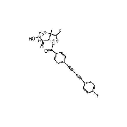 CC(N)(C(F)F)[C@H](NC(=O)c1ccc(C#CC#Cc2ccc(F)cc2)cc1)C(=O)NO